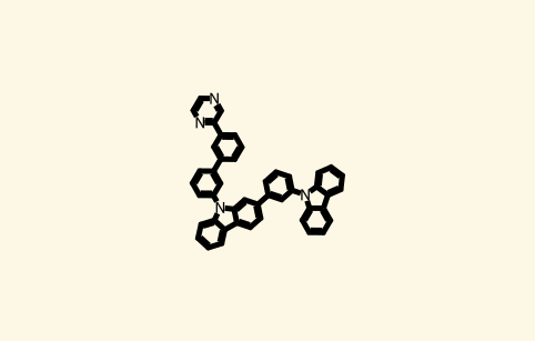 c1cc(-c2cccc(-n3c4ccccc4c4ccc(-c5cccc(-n6c7ccccc7c7ccccc76)c5)cc43)c2)cc(-c2cnccn2)c1